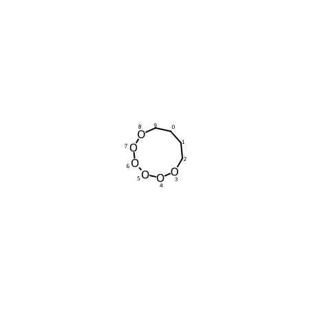 C1CCOOOOOOC1